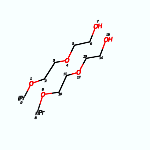 CC(C)OCCOCCO.CCCOCCOCCO